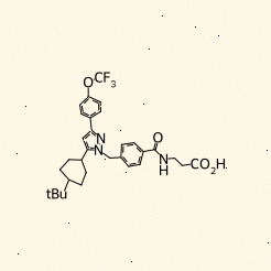 CC(C)(C)C1CCC(c2cc(-c3ccc(OC(F)(F)F)cc3)nn2Cc2ccc(C(=O)NCCC(=O)O)cc2)CC1